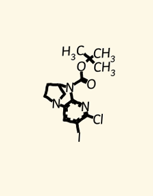 CC(C)(C)OC(=O)N1c2nc(Cl)c(I)cc2N2CCC1C2